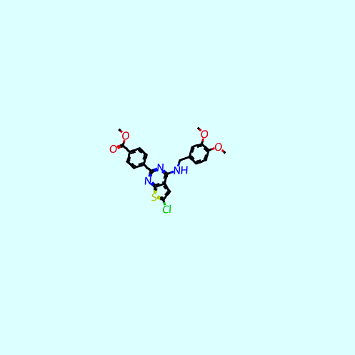 COC(=O)c1ccc(-c2nc(NCc3ccc(OC)c(OC)c3)c3cc(Cl)sc3n2)cc1